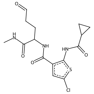 CNC(=O)C(CCC=O)NC(=O)c1cc(Cl)sc1NC(=O)C1CC1